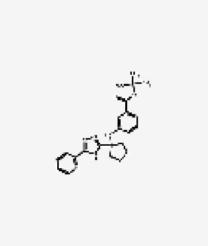 CC(C)(C)OC(=O)c1cccc(NC2(c3nnc(-c4ccncn4)[nH]3)CCOC2)c1